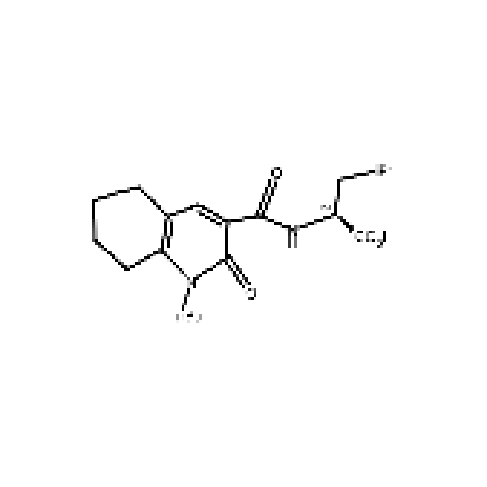 CCCCn1c2c(cc(C(=O)N[C@@H](CC(C)C)C(=O)O)c1=O)CCCC2